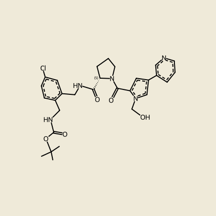 CC(C)(C)OC(=O)NCc1ccc(Cl)cc1CNC(=O)[C@@H]1CCCN1C(=O)c1cc(-c2cccnc2)cn1CO